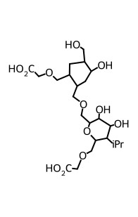 CC(C)C1C(COCC(=O)O)OC(COCC2CC(O)C(CO)CC2COCC(=O)O)C(O)C1O